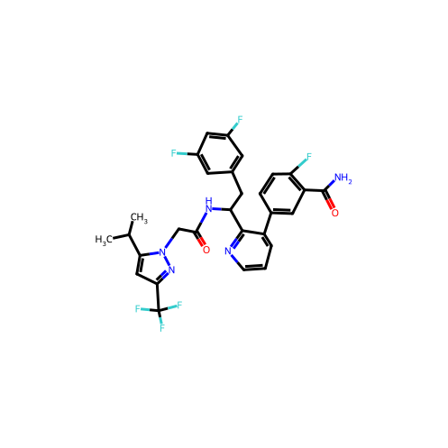 CC(C)c1cc(C(F)(F)F)nn1CC(=O)NC(Cc1cc(F)cc(F)c1)c1ncccc1-c1ccc(F)c(C(N)=O)c1